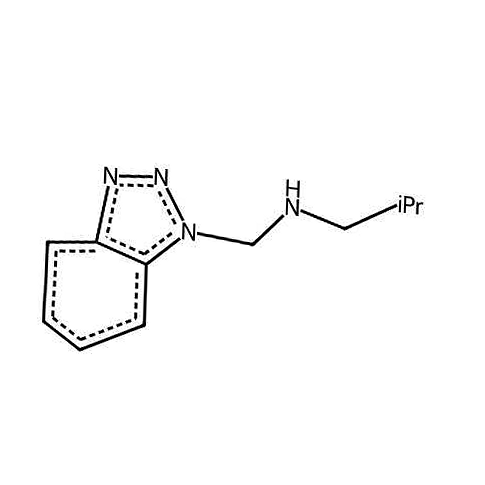 CC(C)CNCn1nnc2ccccc21